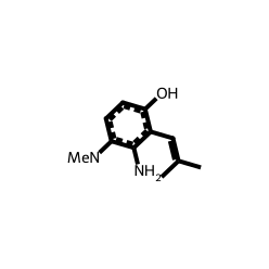 CNc1ccc(O)c(C=C(C)C)c1N